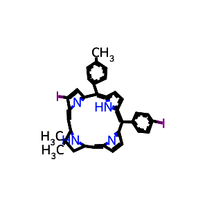 Cc1ccc(/C2=c3\cc/c([nH]3)=C(\c3ccc(I)cc3)C3=N/C(=C\C4CC(C)(C)C(/C=C5N=C2C=C\5I)N4)C=C3)cc1